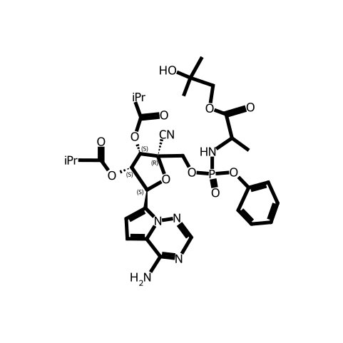 CC(C)C(=O)O[C@H]1[C@H](c2ccc3c(N)ncnn23)O[C@](C#N)(COP(=O)(NC(C)C(=O)OCC(C)(C)O)Oc2ccccc2)[C@H]1OC(=O)C(C)C